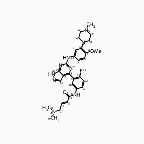 COc1ccc(Nc2nc(-c3cc(NC(=O)/C=C/CN(C)C)ccc3F)c3cn[nH]c3n2)cc1N1CCN(C)CC1